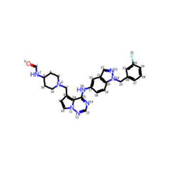 O=CNC1CCN(Cc2ccn3ncnc(Nc4ccc5c(cnn5Cc5cccc(F)c5)c4)c23)CC1